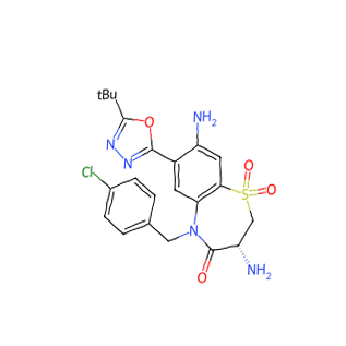 CC(C)(C)c1nnc(-c2cc3c(cc2N)S(=O)(=O)C[C@H](N)C(=O)N3Cc2ccc(Cl)cc2)o1